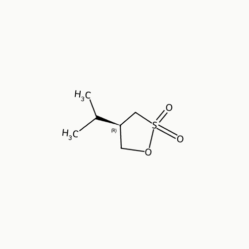 CC(C)[C@@H]1COS(=O)(=O)C1